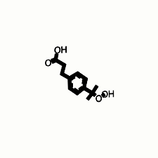 CC(C)(OO)c1ccc(CCC(=O)O)cc1